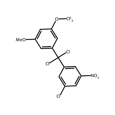 COc1cc(OC(F)(F)F)cc(C(Cl)(Cl)c2cc(Cl)cc([N+](=O)[O-])c2)c1